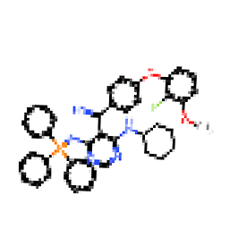 COc1cccc(Oc2ccc(C(=N)c3c(N=P(c4ccccc4)(c4ccccc4)c4ccccc4)ncnc3NC3CCCCC3)cc2)c1F